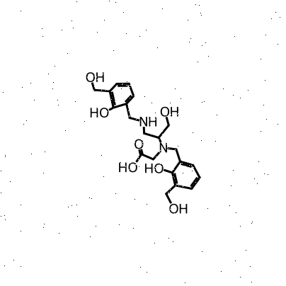 O=C(O)CN(Cc1cccc(CO)c1O)C(CO)CNCc1cccc(CO)c1O